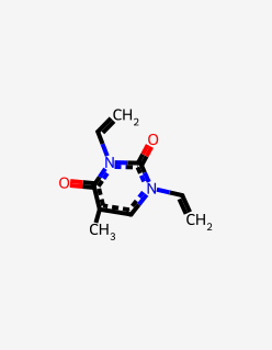 C=Cn1cc(C)c(=O)n(C=C)c1=O